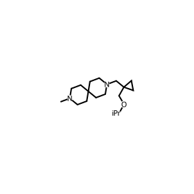 CC(C)OCC1(CN2CCC3(CCN(C)CC3)CC2)CC1